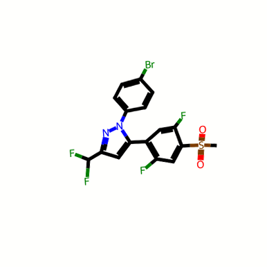 CS(=O)(=O)c1cc(F)c(-c2cc(C(F)F)nn2-c2ccc(Br)cc2)cc1F